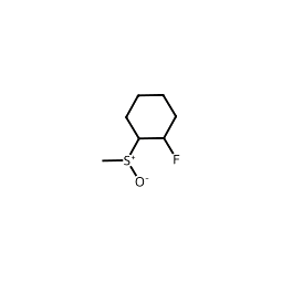 C[S+]([O-])C1CCCCC1F